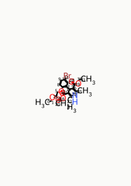 CCOC(=O)COc1ccc(Br)cc1C1C(C(=O)OCC)=C(C)NC(C)=C1C(=O)OCC